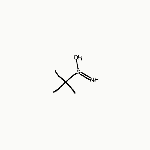 CC(C)(C)S(=N)O